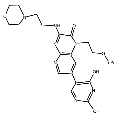 CCCOCCn1c(=O)c(NCCN2CCOCC2)nc2ncc(-c3cnc(O)nc3O)cc21